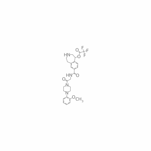 COc1ccccc1N1CCN(C(=O)CNC(=O)c2ccc3c(c2)CCNCC3OC(=O)C(F)(F)F)CC1